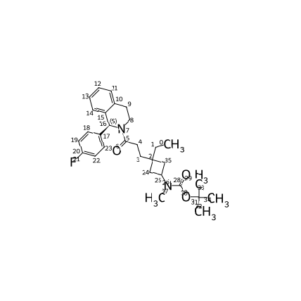 CCC1(CCC(=O)N2CCc3ccccc3[C@@H]2c2ccc(F)cc2)CC(N(C)C(=O)OC(C)(C)C)C1